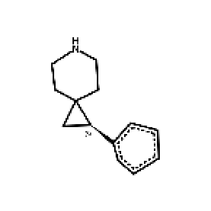 c1ccc([C@H]2CC23CCNCC3)cc1